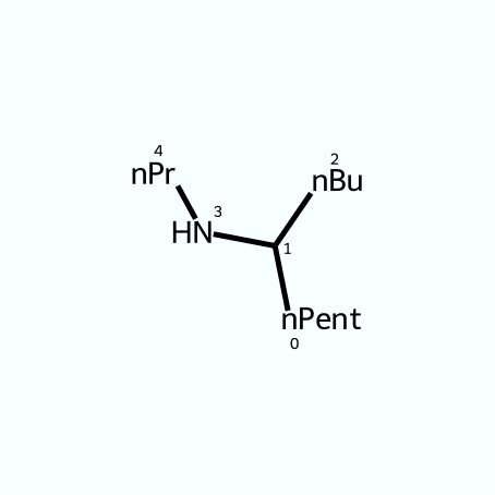 CCCCCC(CCCC)NCCC